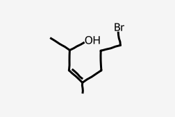 CC(=CC(C)O)CCCBr